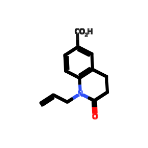 C=CCN1C(=O)CCc2cc(C(=O)O)ccc21